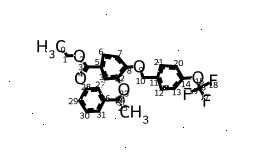 CCOC(=O)c1ccc(OCc2ccc(OC(F)(F)F)cc2)c(O[C@H](C)c2ccccc2)c1